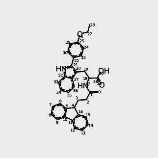 C=C(CCC1c2ccccc2-c2ccccc21)NC(Cc1c(-c2ccc(OCC)cc2)[nH]c2ccccc12)C(=O)O